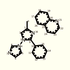 Cc1cn(-n2ccnc2)c(-c2ccccc2)n1.c1ccc2ncccc2c1